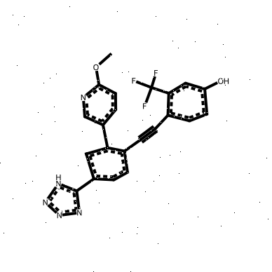 COc1ccc(-c2cc(-c3nnn[nH]3)ccc2C#Cc2ccc(O)cc2C(F)(F)F)cn1